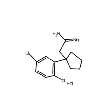 Cl.N=C(N)CC1(c2cc(Cl)ccc2Cl)CCCC1